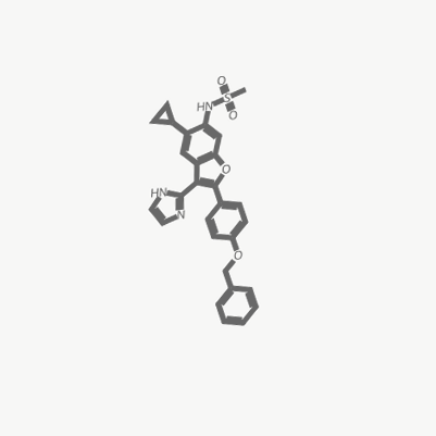 CS(=O)(=O)Nc1cc2oc(-c3ccc(OCc4ccccc4)cc3)c(-c3ncc[nH]3)c2cc1C1CC1